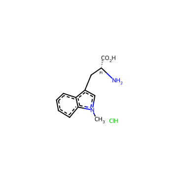 Cl.Cn1cc(C[C@@H](N)C(=O)O)c2ccccc21